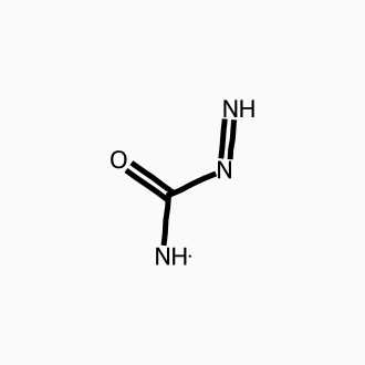 [NH]C(=O)N=N